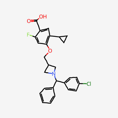 O=C(O)c1cc(C2CC2)c(OCC2CN(C(c3ccccc3)c3ccc(Cl)cc3)C2)cc1F